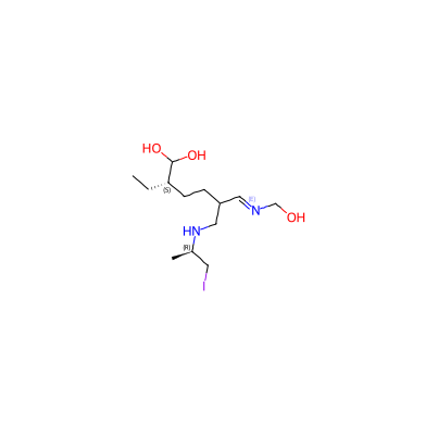 CC[C@@H](CCC(/C=N/CO)CN[C@H](C)CI)C(O)O